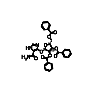 NC(=O)c1[nH]cnc1O[C@@H]1O[C@H](COC(=O)c2ccccc2)[C@@H](OC(=O)c2ccccc2)[C@H]1OC(=O)c1ccccc1